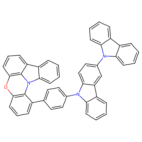 c1cc2c(c(-c3ccc(-n4c5ccccc5c5cc(-n6c7ccccc7c7ccccc76)ccc54)cc3)c1)-n1c3ccccc3c3cccc(c31)O2